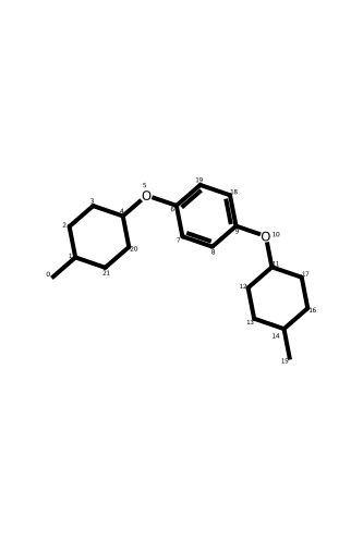 CC1CCC(Oc2ccc(OC3CCC(C)CC3)cc2)CC1